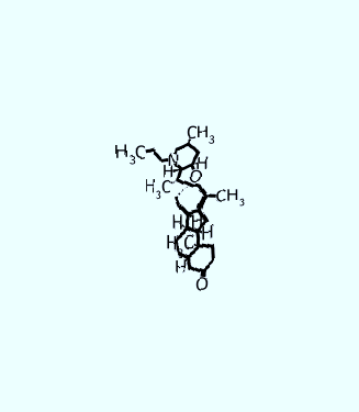 CCCN1C[C@@H](C)C[C@H]2O[C@]3(CC[C@@H]4C(=C(C)C3)C[C@H]3[C@H]4CC[C@@H]4CC(=O)CC[C@@]43C)[C@H](C)[C@@H]21